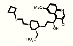 COc1ccc2ncc(Cl)c([C@@H](O)CC[C@@H]3CCN(CCSC4CCC4)C[C@@H]3CC(=O)O)c2c1